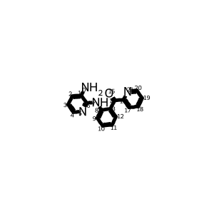 Nc1cccnc1Nc1ccccc1C(=O)c1ccccn1